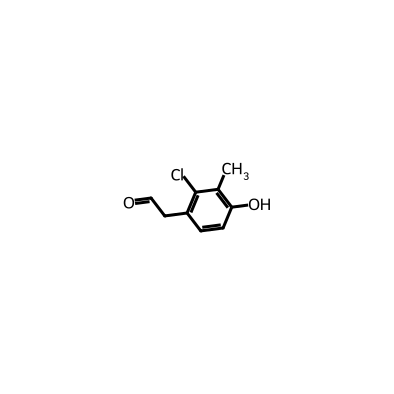 Cc1c(O)ccc(CC=O)c1Cl